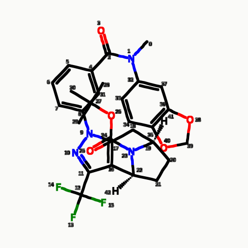 CN(C(=O)c1cccc(-n2nc(C(F)(F)F)c3c2C[C@H]2CC[C@@H]3N2C(=O)OC(C)(C)C)c1)c1ccc2c(c1)OCO2